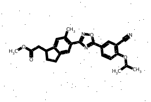 COC(=O)CC1CCc2cc(-c3noc(-c4ccc(OC(C)C)c(C#N)c4)n3)c(C)cc21